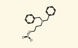 O=[SH](=O)OCCCN(Cc1ccccc1)Cc1ccccc1